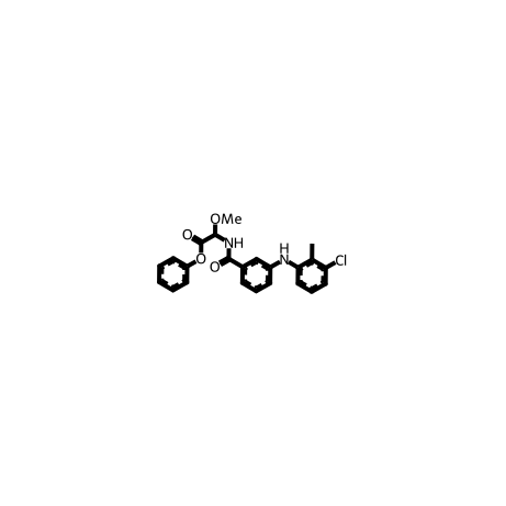 COC(NC(=O)c1cccc(Nc2cccc(Cl)c2C)c1)C(=O)Oc1ccccc1